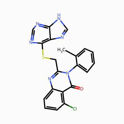 Cc1ccccc1-n1c(CSc2ncnc3[nH]cnc23)nc2cccc(Cl)c2c1=O